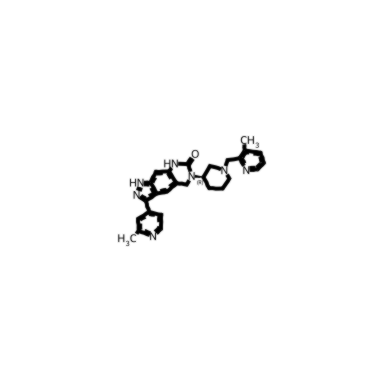 Cc1cc(-c2n[nH]c3cc4c(cc23)CN([C@@H]2CCCN(Cc3ncccc3C)C2)C(=O)N4)ccn1